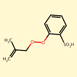 C=C(C)COOc1ccccc1S(=O)(=O)O